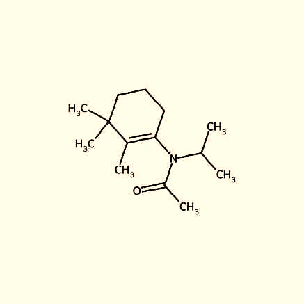 CC(=O)N(C1=C(C)C(C)(C)CCC1)C(C)C